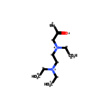 CC(C)(C)C(=O)CN(CCN(CC(=O)O)CC(=O)O)CC(=O)O